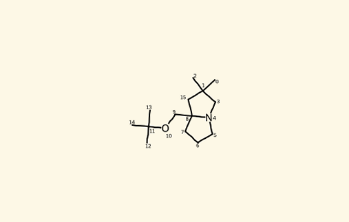 CC1(C)CN2CCCC2(COC(C)(C)C)C1